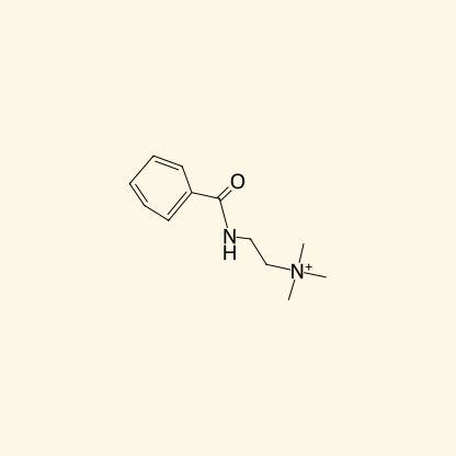 C[N+](C)(C)CCNC(=O)c1ccccc1